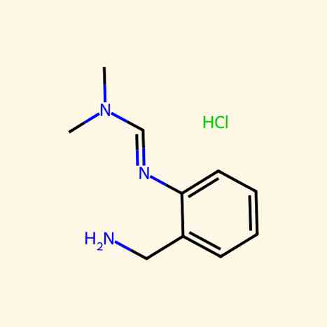 CN(C)C=Nc1ccccc1CN.Cl